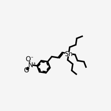 CCC[CH2][Sn](/[CH]=C/Cc1cccc([N+](=O)[O-])c1)([CH2]CCC)[CH2]CCC